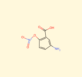 Nc1ccc(O[N+](=O)[O-])c(C(=O)O)c1